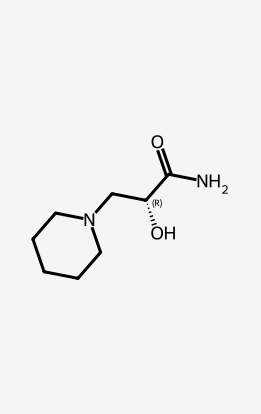 NC(=O)[C@H](O)CN1CCCCC1